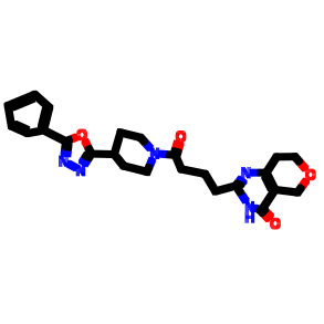 O=C(CCCc1nc2c(c(=O)[nH]1)COCC2)N1CCC(c2nnc(-c3ccccc3)o2)CC1